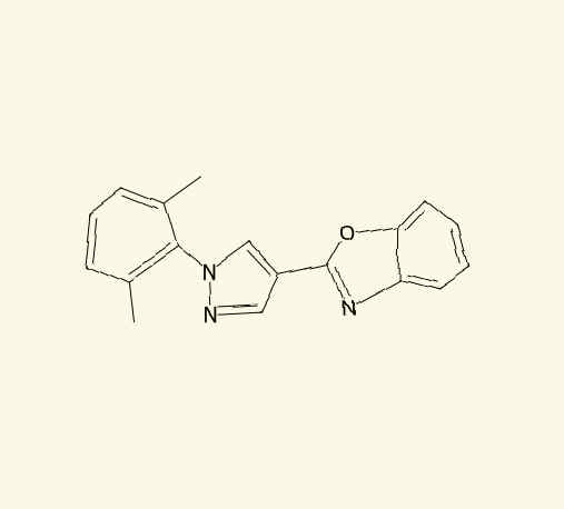 Cc1cccc(C)c1-n1cc(-c2nc3ccccc3o2)cn1